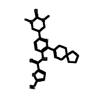 CN1CC(c2ccc(NC(=O)c3ccc(C#N)o3)c(C3=CCC4(CCCC4)CC3)n2)CN(C)C1=O